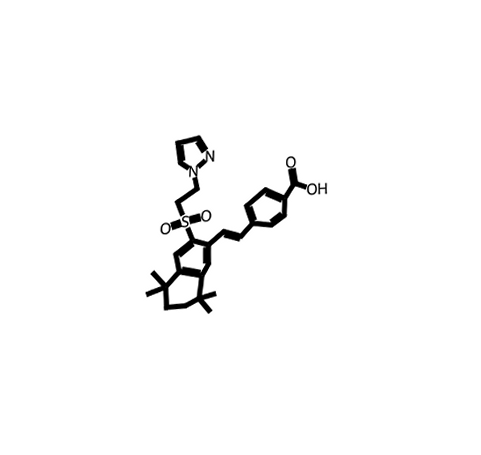 CC1(C)CCC(C)(C)c2cc(S(=O)(=O)CCn3cccn3)c(C=Cc3ccc(C(=O)O)cc3)cc21